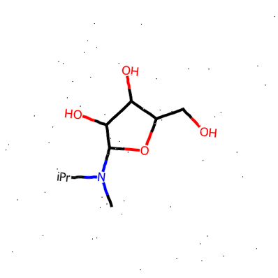 CC(C)N(C)C1OC(CO)C(O)C1O